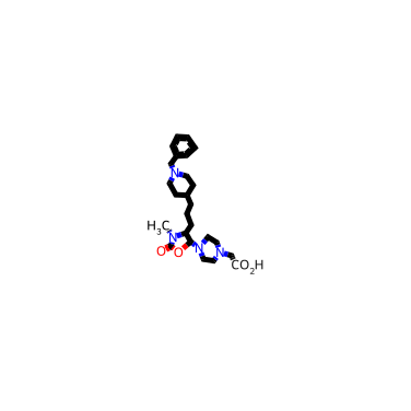 CN1C(=O)OC(N2CCN(CC(=O)O)CC2)C1CCCC1CCN(Cc2ccccc2)CC1